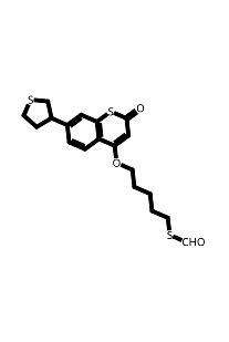 O=CSCCCCCOc1cc(=O)sc2cc(C3CCSC3)ccc12